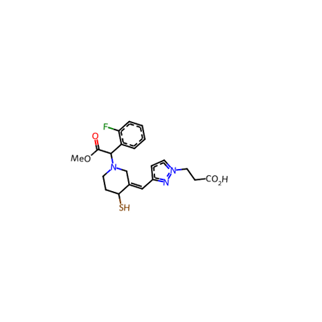 COC(=O)C(c1ccccc1F)N1CCC(S)C(=Cc2ccn(CCC(=O)O)n2)C1